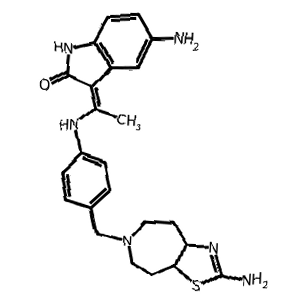 C/C(Nc1ccc(CN2CCC3N=C(N)SC3CC2)cc1)=C1/C(=O)Nc2ccc(N)cc21